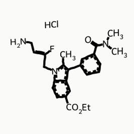 CCOC(=O)c1ccc2c(c1)c(-c1cccc(C(=O)N(C)C)c1)c(C)n2C/C(F)=C/CN.Cl